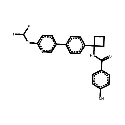 N#Cc1ccc(C(=O)NC2(c3ccc(-c4ccc(OC(F)F)nc4)cc3)CCC2)cc1